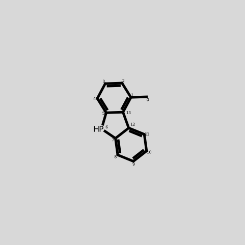 Cc1cccc2[pH]c3ccccc3c12